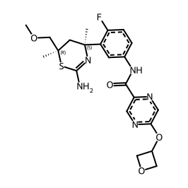 COC[C@@]1(C)C[C@@](C)(c2cc(NC(=O)c3cnc(OC4COC4)cn3)ccc2F)N=C(N)S1